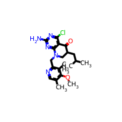 COc1c(C)cnc(CN2CC(CC(C)C)C(=O)c3c(Cl)nc(N)nc32)c1C